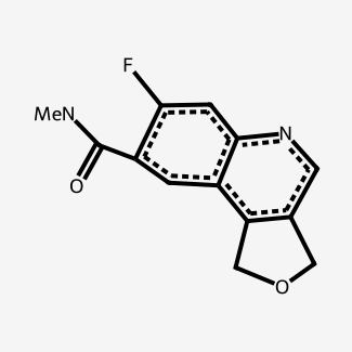 CNC(=O)c1cc2c3c(cnc2cc1F)COC3